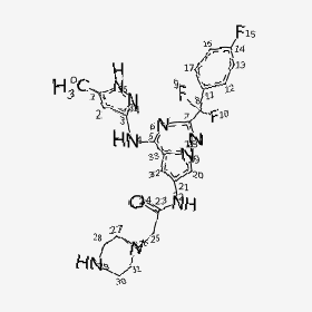 Cc1cc(Nc2nc(C(F)(F)c3ccc(F)cc3)nn3cc(NC(=O)CN4CCNCC4)cc23)n[nH]1